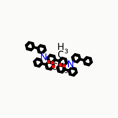 Cc1cc(N(c2cccc(-c3ccccc3)c2)c2ccccc2-c2ccccc2)ccc1-c1ccc(N(c2cccc(-c3ccccc3)c2)c2ccccc2-c2ccccc2)cc1C